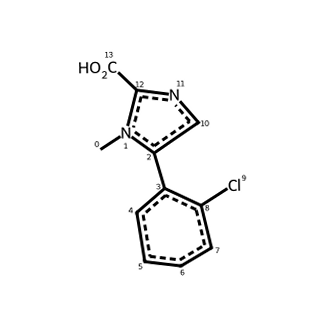 Cn1c(-c2ccccc2Cl)cnc1C(=O)O